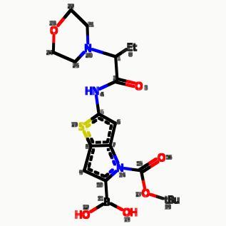 CCC(C(=O)Nc1cc2c(cc(B(O)O)n2C(=O)OC(C)(C)C)s1)N1CCOCC1